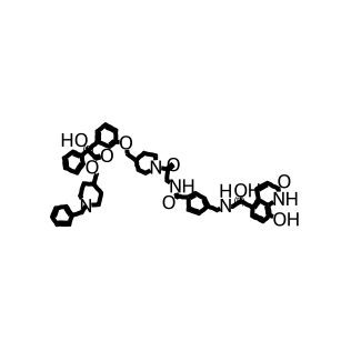 O=C(NCC(=O)N1CCC(COc2cccc([C@](O)(C(=O)OCC3CCN(Cc4ccccc4)CC3)c3ccccc3)c2)CC1)c1ccc(CNC[C@H](O)c2ccc(O)c3[nH]c(=O)ccc23)cc1